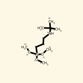 CO[Si](CCCNC(C)(C)C)(OC)OC